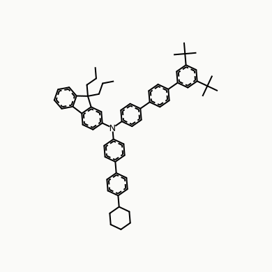 CCCC1(CCC)c2ccccc2-c2ccc(N(c3ccc(-c4ccc(-c5cc(C(C)(C)C)cc(C(C)(C)C)c5)cc4)cc3)c3ccc(-c4ccc(C5CCCCC5)cc4)cc3)cc21